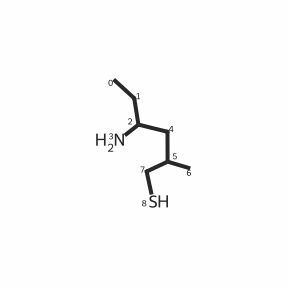 CCC(N)CC(C)CS